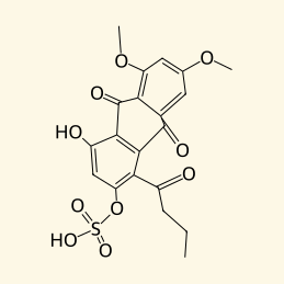 CCCC(=O)c1c(OS(=O)(=O)O)cc(O)c2c1C(=O)c1cc(OC)cc(OC)c1C2=O